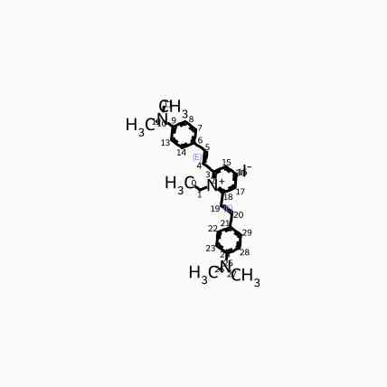 CC[n+]1c(/C=C/c2ccc(N(C)C)cc2)cccc1/C=C/c1ccc(N(C)C)cc1.[I-]